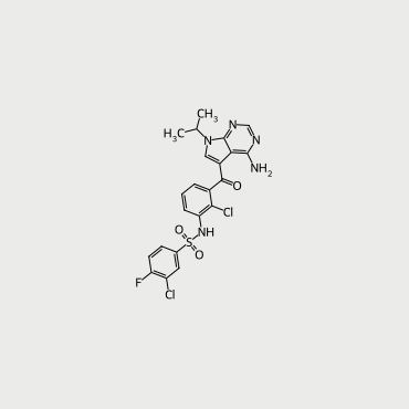 CC(C)n1cc(C(=O)c2cccc(NS(=O)(=O)c3ccc(F)c(Cl)c3)c2Cl)c2c(N)ncnc21